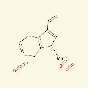 C=CC1=C[CH]([Mn])C2=C1CC=CC2.[C]=O.[C]=O.[C]=O